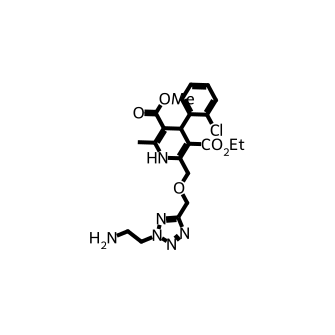 CCOC(=O)C1=C(COCc2nnn(CCN)n2)NC(C)=C(C(=O)OC)C1c1ccccc1Cl